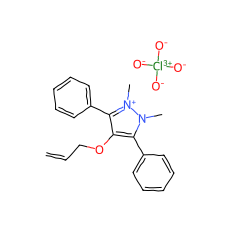 C=CCOc1c(-c2ccccc2)n(C)[n+](C)c1-c1ccccc1.[O-][Cl+3]([O-])([O-])[O-]